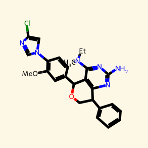 CCN(C)c1nc(N)nc2c1C(c1ccc(-n3cnc(Cl)c3)c(OC)c1)OCC2c1ccccc1